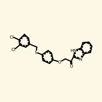 O=C(COc1ccc(SCc2ccc(Cl)c(Cl)c2)cc1)c1nc2ccccc2[nH]1